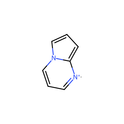 C1=Cn2cccc2[N+]=C1